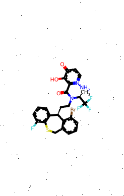 C[C@@H](N(CC[C@@H]1c2cccc(F)c2SCc2cccc(Br)c21)C(=O)c1c(O)c(=O)ccn1N)C(F)(F)F